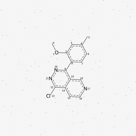 COc1cc(C)ccc1-c1nnc(Cl)c2ccncc12